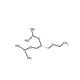 CCOC[C@H](CON(O)O)ON(O)O